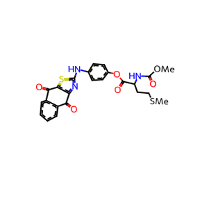 COC(=O)NC(CCSC)C(=O)Oc1ccc(Nc2nc3c(s2)C(=O)c2ccccc2C3=O)cc1